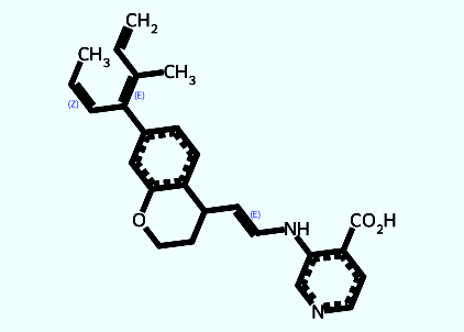 C=C/C(C)=C(\C=C/C)c1ccc2c(c1)OCCC2/C=C/Nc1cnccc1C(=O)O